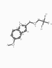 [CH2]Oc1ccc2oc(COCC(F)(F)F)cc2c1